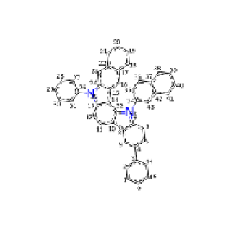 c1ccc(-c2ccc3c(c2)c2ccc4c(c5cc6ccccc6cc5n4-c4ccccc4)c2n3-c2ccc3ccccc3c2)cc1